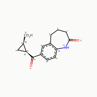 O=C1CCCc2cc(C(=O)[C@H]3C[C@H]3C(=O)O)ccc2N1